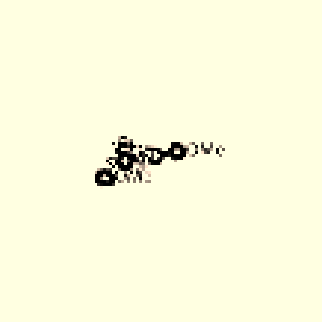 COc1ccc(C2CCN(S(=O)(=O)c3ccc(Sc4ccccc4OC)c4nonc34)CC2)cc1